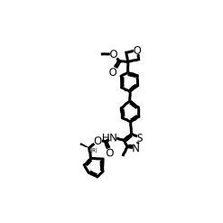 COC(=O)C1(c2ccc(-c3ccc(-c4snc(C)c4NC(=O)O[C@H](C)c4ccccc4)cc3)cc2)COC1